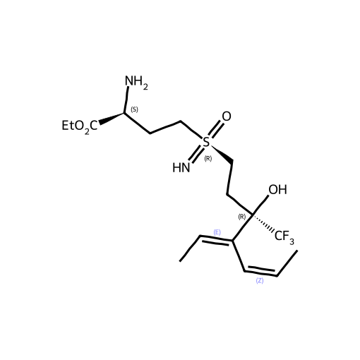 C/C=C\C(=C/C)[C@](O)(CC[S@](=N)(=O)CC[C@H](N)C(=O)OCC)C(F)(F)F